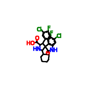 O=C(O)C1NC(C2CCCCC2)C2(C(=O)Nc3cc(Cl)c(F)cc32)C1c1ccc(F)c(Cl)c1